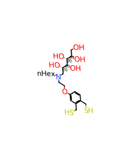 CCCCCCN(CCOc1ccc(CS)c(CS)c1)C[C@H](O)[C@@H](O)[C@H](O)[C@H](O)CO